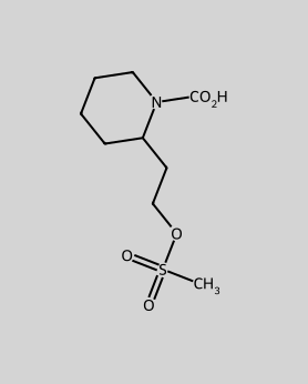 CS(=O)(=O)OCCC1CCCCN1C(=O)O